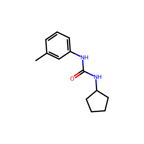 Cc1cccc(NC(=O)NC2CCCC2)c1